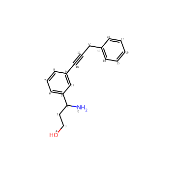 NC(CCO)c1cccc(C#CCc2ccccc2)c1